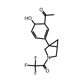 CC(=O)C1C=C(C23CC2CN(C(=O)C(F)(F)F)C3)C=CC1O